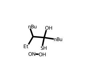 CCCCC(CC)C(O)(S)CCCC.O=NO